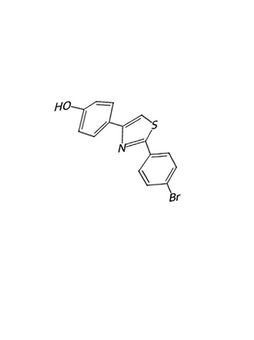 Oc1ccc(-c2csc(-c3ccc(Br)cc3)n2)cc1